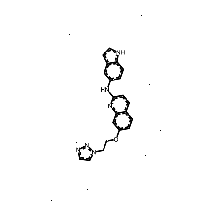 c1cn(CCOc2ccc3ccc(Nc4ccc5[nH]ccc5c4)nc3c2)nn1